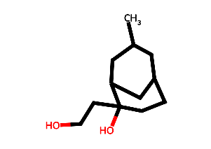 CC1CC2CCC(O)(CCO)C(C1)C2